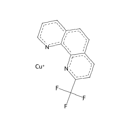 FC(F)(F)c1ccc2ccc3cccnc3c2n1.[Cu+]